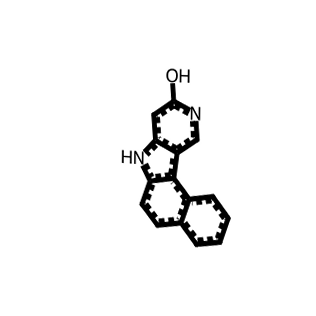 Oc1cc2[nH]c3ccc4ccccc4c3c2cn1